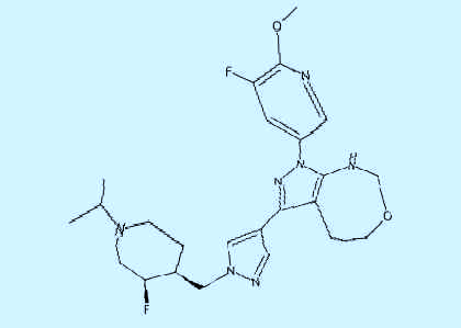 COc1ncc(-n2nc(-c3cnn(C[C@@H]4CCN(C(C)C)C[C@@H]4F)c3)c3c2NCOCC3)cc1F